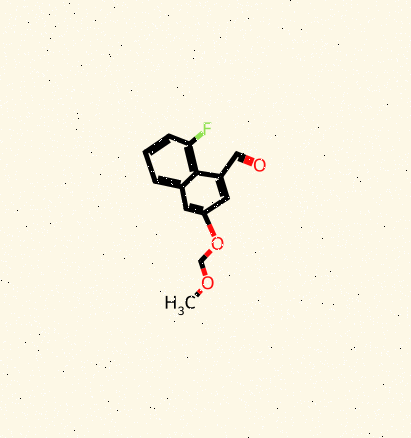 COCOc1cc(C=O)c2c(F)cccc2c1